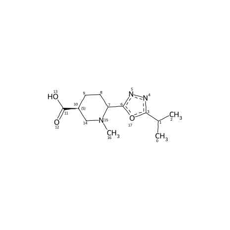 CC(C)c1nnc(C2CC[C@H](C(=O)O)CN2C)o1